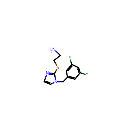 NCCSc1nccn1Cc1cc(F)cc(F)c1